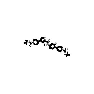 CC(C)(C)OC(=O)N1CC=C(c2csc(C(=O)Nc3ccc(C4=CCN(C(=O)OC(C)(C)C)CC4)c(F)c3)c2)CC1